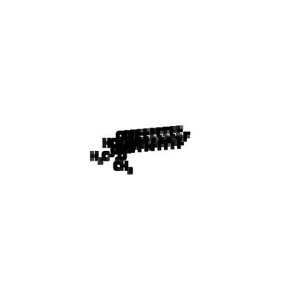 CCO[Si](OCC)(OCC)C(O)(O)C(O)(O)C(F)(F)C(F)(F)C(F)(F)C(F)(F)C(F)(F)C(F)(F)C(F)(F)C(F)(F)F